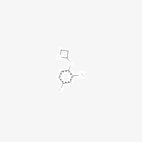 N#Cc1cc(F)[c]cc1OC1CCO1